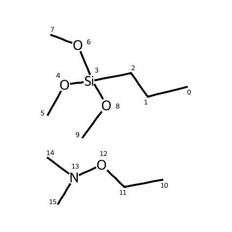 CCC[Si](OC)(OC)OC.CCON(C)C